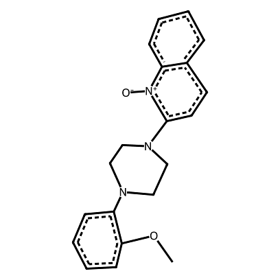 COc1ccccc1N1CCN(c2ccc3ccccc3[n+]2[O-])CC1